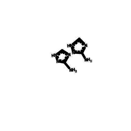 Nc1nc[nH]n1.Nc1nc[nH]n1